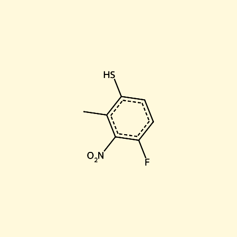 Cc1c(S)ccc(F)c1[N+](=O)[O-]